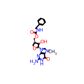 C[n+]1cn([C@@H]2OC[C@@H](COC(=O)NCc3ccccc3)[C@H]2O)c2nc(N)[nH]c(=O)c21